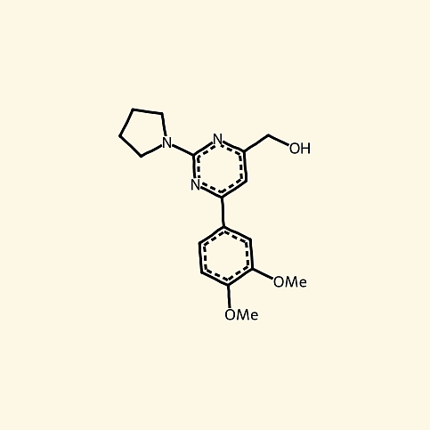 COc1ccc(-c2cc(CO)nc(N3CCCC3)n2)cc1OC